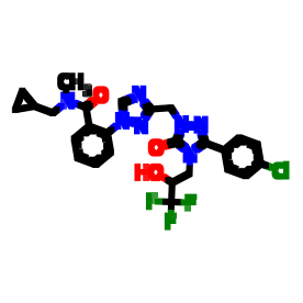 CN(CC1CC1)C(=O)c1ccccc1-n1cnc(Cn2nc(-c3ccc(Cl)cc3)n(CC(O)C(F)(F)F)c2=O)n1